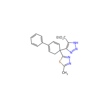 CCOC(=O)c1[nH]nnc1C1(c2nnc(C)s2)C=CC(c2ccccc2)=CC1